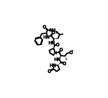 COC[C@H](C)[C@H](NC(=O)[C@@H]1CCC(=O)N1)C(=O)N1CCC[C@H]1C(=O)N[C@@H](CC(C)C)C(=O)NC(Cc1ccccc1)C(N)=O